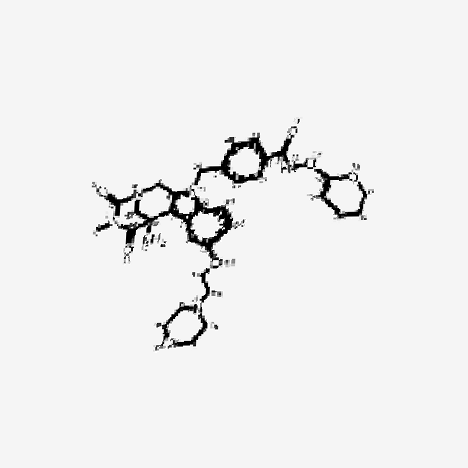 CN1C(=O)N2Cc3c(c4cc(OCCN5CCOCC5)ccc4n3Cc3ccc(C(=O)NOC4CCCCO4)cc3)[C@@](N)(C2)C1=O